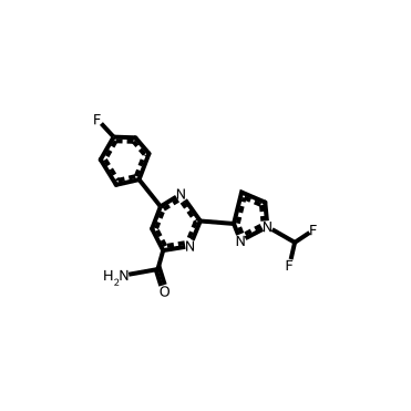 NC(=O)c1cc(-c2ccc(F)cc2)nc(-c2ccn(C(F)F)n2)n1